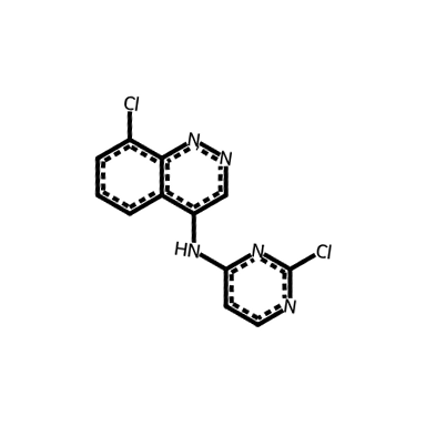 Clc1nccc(Nc2cnnc3c(Cl)cccc23)n1